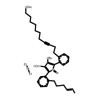 CC=CCCCc1ccccc1C1=C(CCCCCCCC)C(CCCC)=C(c2ccccc2CCC#CCCCCCCCCCCCCCCCCC)[N+]1=[N-].C[CH2][Ni][CH2]C